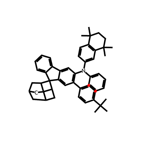 CC(C)(C)c1ccc(-c2cc3c(cc2N(c2ccccc2)c2ccc4c(c2)C(C)(C)CCC4(C)C)-c2ccccc2C32C3CC4CC5CC2C53C4)cc1